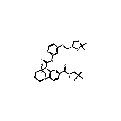 CC(F)(F)CNC(=O)c1ccc2c(n1)N(C(=O)Nc1cc(OC[C@H]3COC(C)(C)O3)ccn1)[C@H]1CCCN2C1